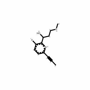 CC#Cc1ccc(F)c(C(O)CCOC)n1